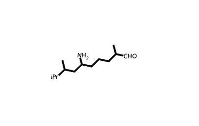 CC(C=O)CCCC(N)CC(C)C(C)C